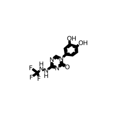 O=c1nc(NNC(F)(F)F)ncn1-c1ccc(O)c(O)c1